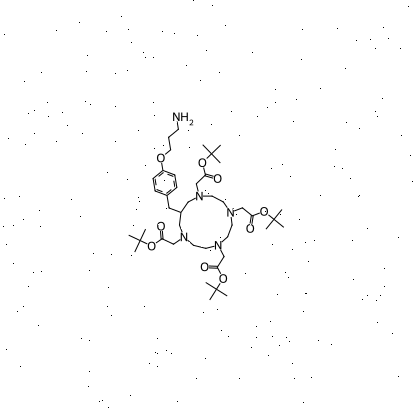 CC(C)(C)OC(=O)CN1CCN(CC(=O)OC(C)(C)C)CCN(CC(=O)OC(C)(C)C)CC(Cc2ccc(OCCCN)cc2)CN(CC(=O)OC(C)(C)C)CC1